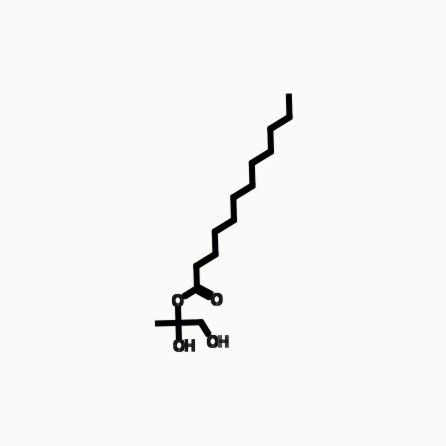 CCCCCCCCCCCC(=O)OC(C)(O)CO